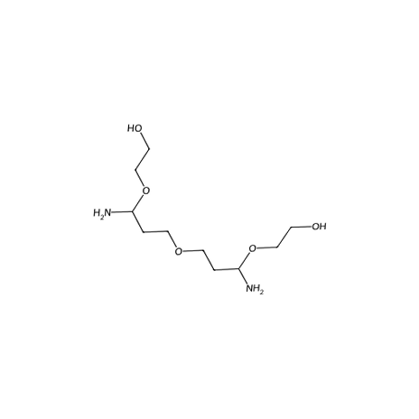 NC(CCOCCC(N)OCCO)OCCO